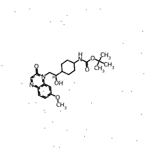 COc1ccc2ncc(=O)n(C[C@H](O)C3CCC(NC(=O)OC(C)(C)C)CC3)c2c1